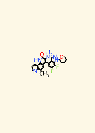 Cc1cc2c(-c3cc(F)c(F)c4c3cnn4C3CCCCO3)c(N)c(=O)[nH]c2c2cccnc12